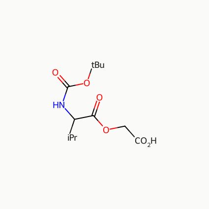 CC(C)C(NC(=O)OC(C)(C)C)C(=O)OCC(=O)O